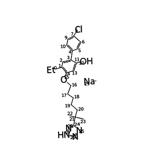 CCc1cc(-c2ccc(Cl)cc2)c(O)cc1OCCCCCC(C)(C)c1nn[nH]n1.[Na]